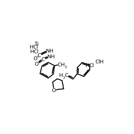 C1CCOC1.C=Cc1ccccc1.Cc1ccccc1.Cl.Cl.Cl.Cl.N=C=O.N=C=O.[Ti]